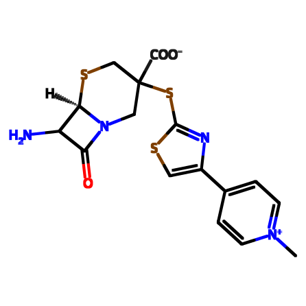 C[n+]1ccc(-c2csc(SC3(C(=O)[O-])CS[C@@H]4C(N)C(=O)N4C3)n2)cc1